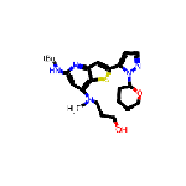 CN(CCCO)c1cc(NC(C)(C)C)nc2cc(-c3ccnn3C3CCCCO3)sc12